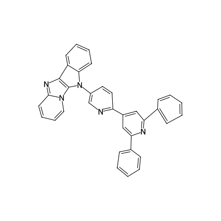 c1ccc(-c2cc(-c3ccc(-n4c5ccccc5c5nc6ccccn6c54)cn3)cc(-c3ccccc3)n2)cc1